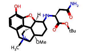 CO[C@@]12CCC(N[C@@H](CC(N)=O)C(=O)OC(C)(C)C)[C@@H]3Oc4c(O)ccc5c4[C@@]31CCN(C)C2C5